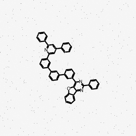 c1ccc(-c2cc(-c3ccccc3)nc(-c3cccc(-c4cccc(-c5cccc(-c6nc(-c7ccccc7)nc7c6oc6ccccc67)c5)c4)c3)c2)cc1